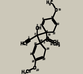 C#CC(O)(C1(OC)C=CC(OC)=CC1)C1(OC)C=CC(OC)=CC1